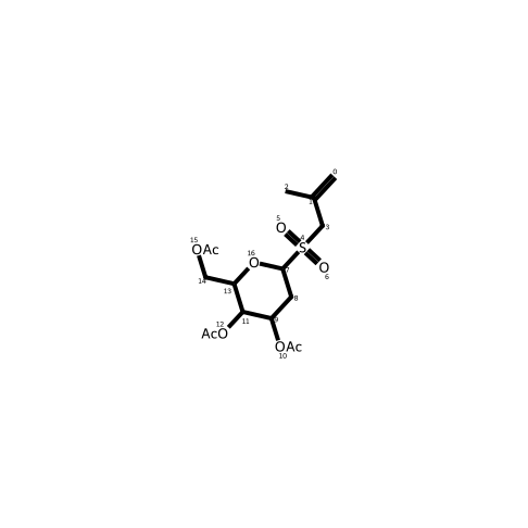 C=C(C)CS(=O)(=O)C1CC(OC(C)=O)C(OC(C)=O)C(COC(C)=O)O1